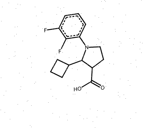 O=C(O)C1CCN(c2cccc(F)c2F)C1C1CCC1